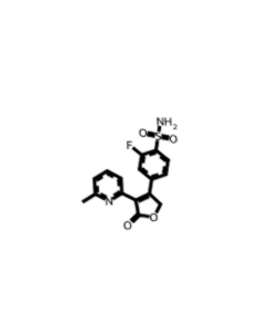 Cc1cccc(C2=C(c3ccc(S(N)(=O)=O)c(F)c3)COC2=O)n1